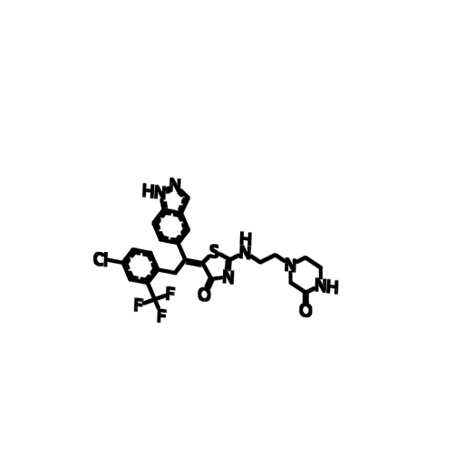 O=C1CN(CCNC2=NC(=O)C(=C(Cc3ccc(Cl)cc3C(F)(F)F)c3ccc4[nH]ncc4c3)S2)CCN1